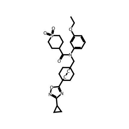 CCOc1cccc(N(CC23CCC(c4nc(C5CC5)no4)(CC2)CC3)C(=O)C2CCS(=O)(=O)CC2)c1